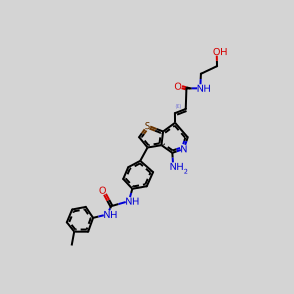 Cc1cccc(NC(=O)Nc2ccc(-c3csc4c(/C=C/C(=O)NCCO)cnc(N)c34)cc2)c1